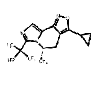 C[C@H]1Cc2c(noc2C2CC2)-c2cnc([C@@](C)(O)C(F)(F)F)n21